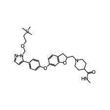 CNC(=O)C1CCN(CC2Cc3ccc(Oc4ccc(-c5ccnn5COCC[Si](C)(C)C)cc4)cc3O2)CC1